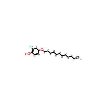 OC1=C(F)C[C@@H](OCCCCCCCCCCCC(F)(F)F)C=C1